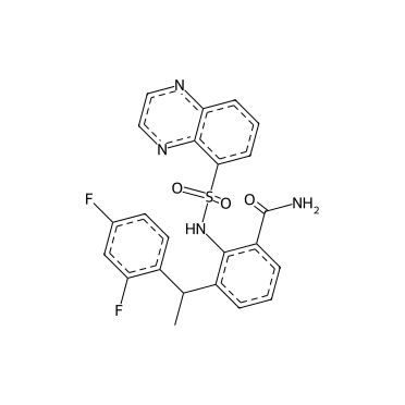 CC(c1ccc(F)cc1F)c1cccc(C(N)=O)c1NS(=O)(=O)c1cccc2nccnc12